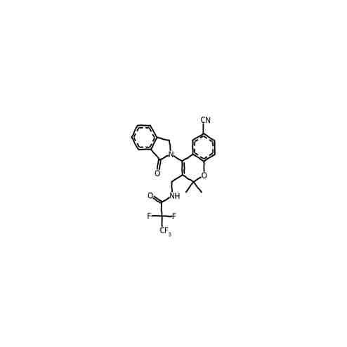 CC1(C)Oc2ccc(C#N)cc2C(N2Cc3ccccc3C2=O)=C1CNC(=O)C(F)(F)C(F)(F)F